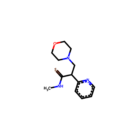 CNC(=S)C(CN1CCOCC1)c1ccccn1